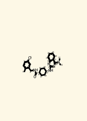 Cc1ccc(Cl)cc1CNC(=O)[C@H]1CC[C@@H](Nc2nc(N(C)C)c3ccccc3n2)CC1